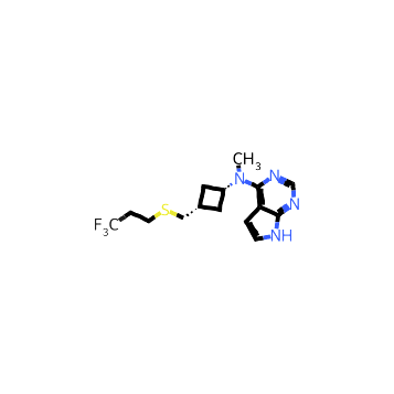 CN(c1ncnc2[nH]ccc12)[C@H]1C[C@@H](CSCCC(F)(F)F)C1